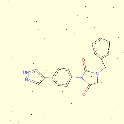 O=C1CN(Cc2ccccc2)C(=O)N1c1ccc(-c2cn[nH]c2)cc1